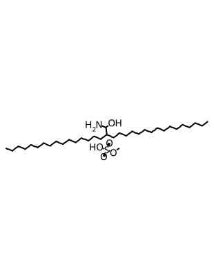 CCCCCCCCCCCCCCCCC(CCCCCCCCCCCCCCCC)C(N)O.COS(=O)(=O)O